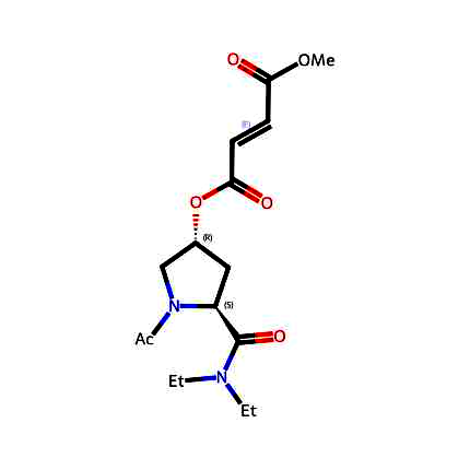 CCN(CC)C(=O)[C@@H]1C[C@@H](OC(=O)/C=C/C(=O)OC)CN1C(C)=O